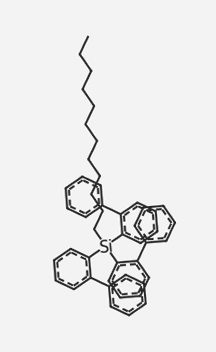 CCCCCCCCCCCC[Si](c1ccccc1-c1ccccc1)(c1ccccc1-c1ccccc1)c1ccccc1-c1ccccc1